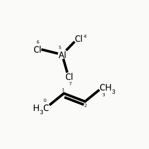 CC=CC.[Cl][Al]([Cl])[Cl]